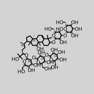 C[C@H](CC[C@@H](O[C@@H]1O[C@H](CO)[C@@H](O)[C@H](O)[C@H]1O[C@@H]1O[C@H](CO)[C@@H](O)[C@H](O[C@@H]2O[C@H](CO)[C@@H](O)[C@H](O)[C@H]2O)[C@H]1O)C(C)(C)O)C1CC[C@@]2(C)C3CC=C4C(CC[C@H](O[C@@H]5O[C@H](CO)[C@@H](O)[C@H](O[C@@H]6O[C@H](CO)[C@@H](O)[C@H](O)[C@H]6O)[C@H]5O)C4(C)C)[C@]3(C)[C@H](O)C[C@]12C